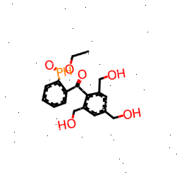 CCO[PH](=O)c1ccccc1C(=O)c1c(CO)cc(CO)cc1CO